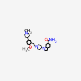 COc1ccc(C2CCN(C)CC2)cc1CCN1CCC(n2ccc3ccc(C(N)=O)cc32)CC1